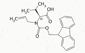 C=CCN(C(=O)OCC1c2ccccc2-c2ccccc21)[C@H](C(=O)O)C(C)C